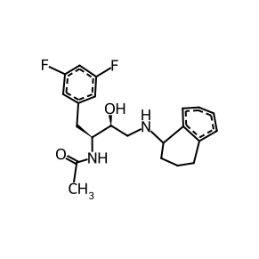 CC(=O)N[C@@H](Cc1cc(F)cc(F)c1)[C@@H](O)CNC1CCCc2ccccc21